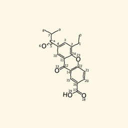 CCc1cc([S+]([O-])C(C)C)cc2c(=O)c3cc(C(=O)O)ccc3oc12